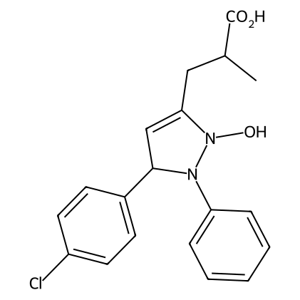 CC(CC1=CC(c2ccc(Cl)cc2)N(c2ccccc2)N1O)C(=O)O